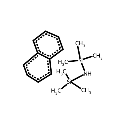 C[Si](C)(C)N[Si](C)(C)C.c1ccc2ccccc2c1